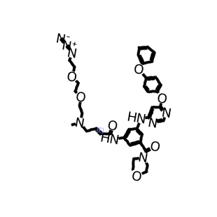 CN(C/C=C/C(=O)Nc1cc(Nc2cc(Oc3ccc(Oc4ccccc4)cc3)ncn2)cc(C(=O)N2CCOCC2)c1)CCOCCOCCN=[N+]=[N-]